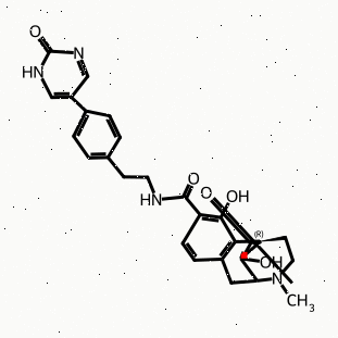 CN1CC[C@]23CC(=O)CCC2(O)C1Cc1ccc(C(=O)NCCc2ccc(-c4cnc(=O)[nH]c4)cc2)c(O)c13